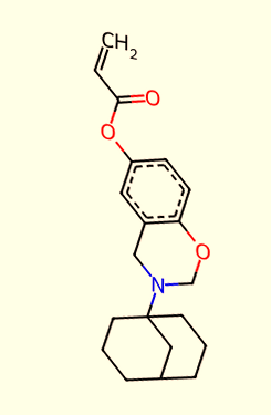 C=CC(=O)Oc1ccc2c(c1)CN(C13CCCC(CCC1)C3)CO2